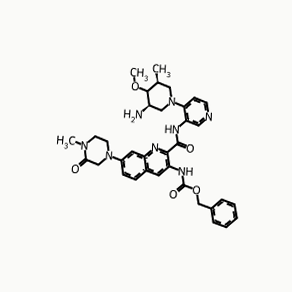 COC1[C@H](N)CN(c2ccncc2NC(=O)c2nc3cc(N4CCN(C)C(=O)C4)ccc3cc2NC(=O)OCc2ccccc2)C[C@@H]1C